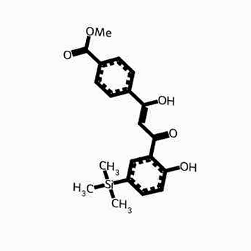 COC(=O)c1ccc(C(O)=CC(=O)c2cc([Si](C)(C)C)ccc2O)cc1